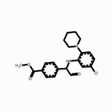 COC(=O)c1ccc(C(C=O)Nc2cc(Cl)ccc2N2CCCCC2)cc1